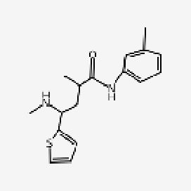 CNC(CC(C)C(=O)Nc1cccc(C)c1)c1cccs1